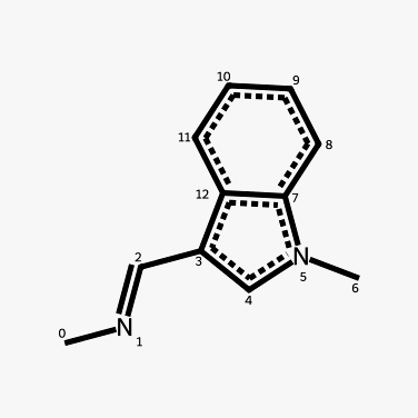 C/N=C/c1cn(C)c2ccccc12